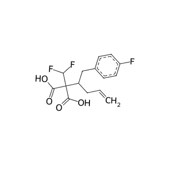 C=CCC(Cc1ccc(F)cc1)C(C(=O)O)(C(=O)O)C(F)F